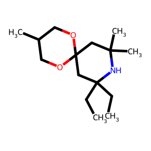 CCC1(CC)CC2(CC(C)(C)N1)OCC(C)CO2